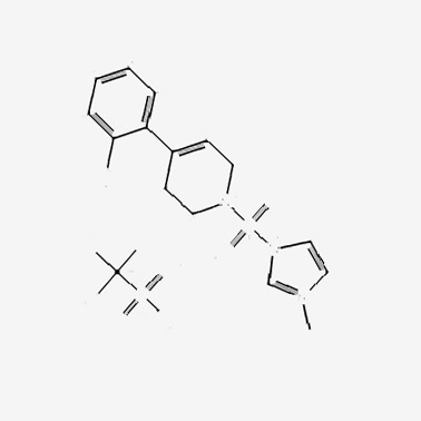 C[n+]1ccn(S(=O)(=O)N2CC=C(c3ccccc3Cl)CC2)c1.O=S(=O)([O-])C(F)(F)F